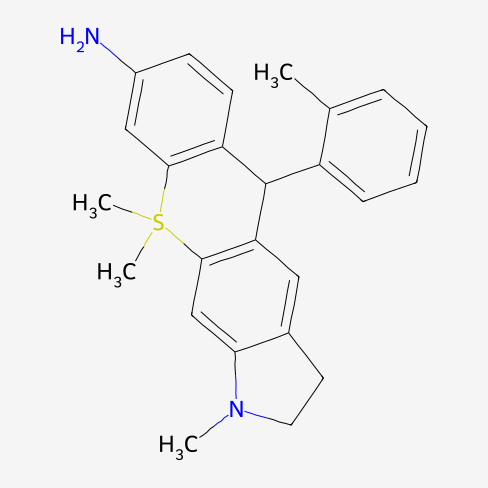 Cc1ccccc1C1c2ccc(N)cc2S(C)(C)c2cc3c(cc21)CCN3C